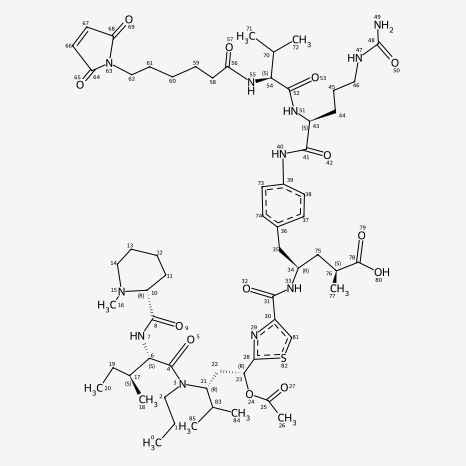 CCCN(C(=O)[C@@H](NC(=O)[C@H]1CCCCN1C)[C@@H](C)CC)[C@H](C[C@@H](OC(C)=O)c1nc(C(=O)N[C@@H](Cc2ccc(NC(=O)[C@H](CCCNC(N)=O)NC(=O)[C@@H](NC(=O)CCCCCN3C(=O)C=CC3=O)C(C)C)cc2)C[C@H](C)C(=O)O)cs1)C(C)C